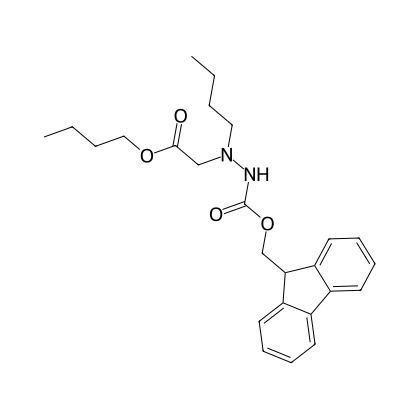 CCCCOC(=O)CN(CCCC)NC(=O)OCC1c2ccccc2-c2ccccc21